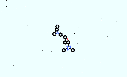 c1ccc(-c2nc(-c3ccccc3)nc(-c3ccc4c5c(cccc35)-c3cc(-c5ccc(-n6c7ccccc7c7cc8ccccc8cc76)cc5)ccc3O4)n2)cc1